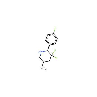 CC1CN[C@@H](c2ccc(F)cc2)C(F)(F)C1